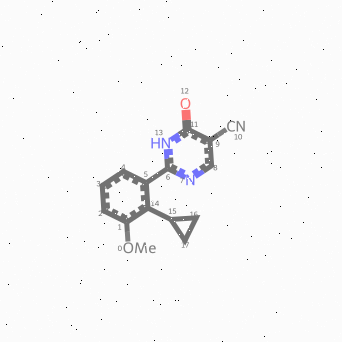 COc1cccc(-c2ncc(C#N)c(=O)[nH]2)c1C1CC1